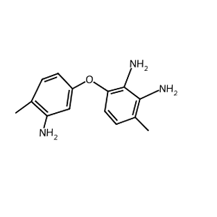 Cc1ccc(Oc2ccc(C)c(N)c2N)cc1N